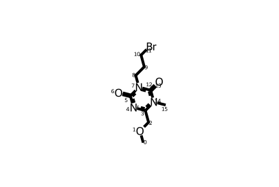 COCc1nc(=O)n(CCCBr)c(=O)n1C